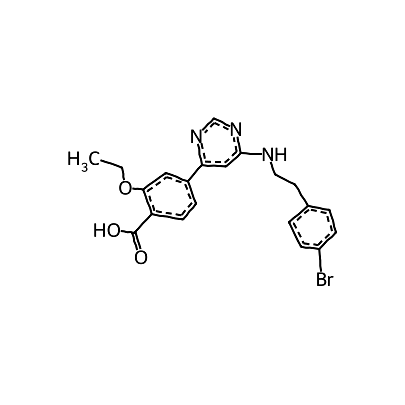 CCOc1cc(-c2cc(NCCc3ccc(Br)cc3)ncn2)ccc1C(=O)O